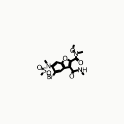 CNC(=O)c1c(C(=O)N(C)OC)oc2cc(N(C)S(C)(=O)=O)c(Br)cc12